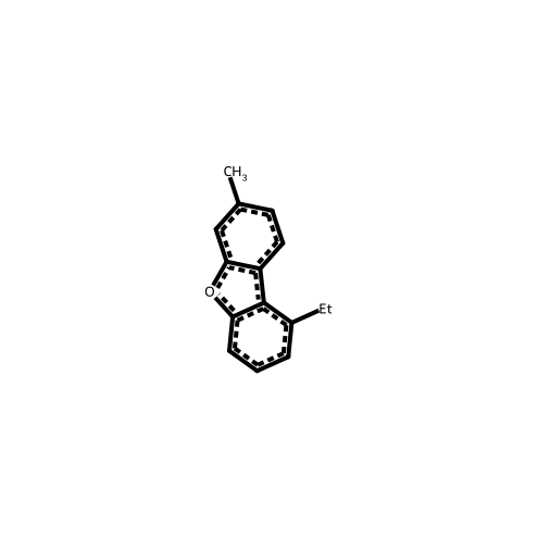 CCc1cccc2oc3cc(C)ccc3c12